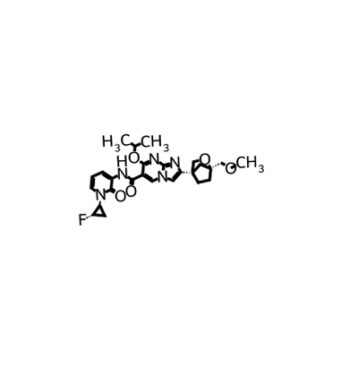 COC[C@@]12CC[C@@](c3cn4cc(C(=O)Nc5cccn([C@@H]6C[C@@H]6F)c5=O)c(OC(C)C)nc4n3)(CO1)C2